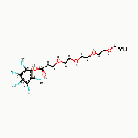 CCOCCOCCOCCOCCC(=O)Oc1c(F)c(F)c(F)c(F)c1F